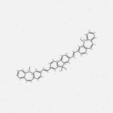 CN1c2ccccc2C=Cc2ccc(/C=C/c3ccc4c(c3)C(C)(C)c3cc(/C=C/c5ccc6c(c5)N(C)c5ccccc5C=C6)ccc3-4)cc21